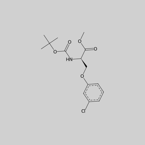 COC(=O)[C@@H](COc1cccc(Cl)c1)NC(=O)OC(C)(C)C